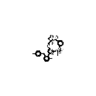 Cc1ccc(Cc2cccc(C)c2-c2cc3nc(n2)NS(=O)(=O)c2cccc(c2)C(=O)N[C@H](CC(C)C)CO3)cc1